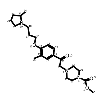 COC(=O)N1CCN(CC(=O)c2ccc(OCCCN3CCCC3C)c(C)c2)CC1